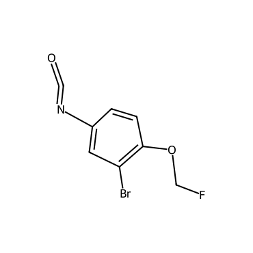 O=C=Nc1ccc(OCF)c(Br)c1